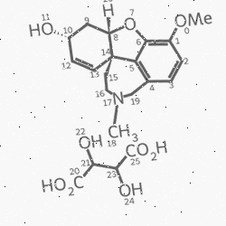 COc1ccc2c3c1O[C@H]1C[C@@H](O)C=C[C@@]31CCN(C)C2.O=C(O)C(O)C(O)C(=O)O